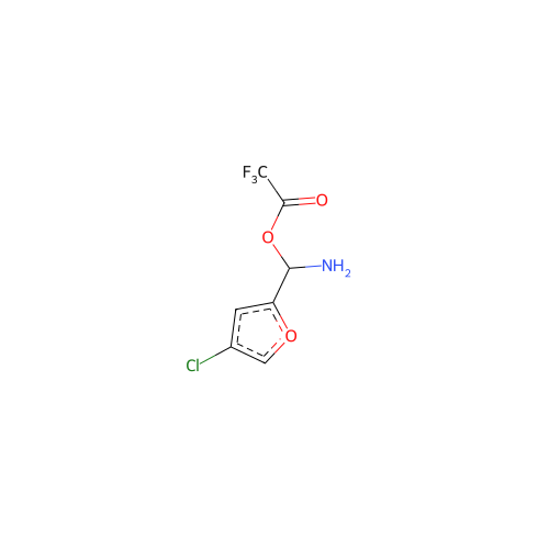 NC(OC(=O)C(F)(F)F)c1cc(Cl)co1